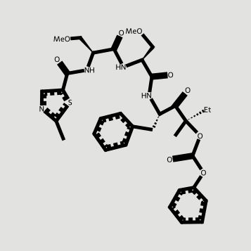 CC[C@@](C)(OC(=O)Oc1ccccc1)C(=O)[C@H](Cc1ccccc1)NC(=O)[C@H](COC)NC(=O)[C@H](COC)NC(=O)c1cnc(C)s1